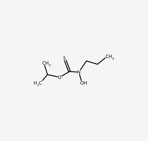 CCCN(O)C(=S)OC(C)C